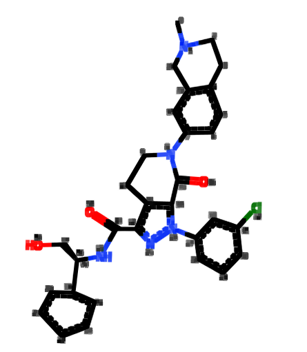 CN1CCc2ccc(N3CCc4c(C(=O)N[C@H](CO)c5ccccc5)nn(-c5cccc(Cl)c5)c4C3=O)cc2C1